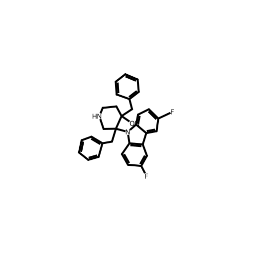 OC1(Cc2ccccc2)CCNCC1(Cc1ccccc1)n1c2ccc(F)cc2c2cc(F)ccc21